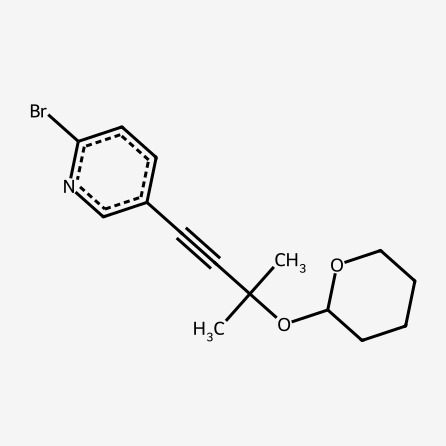 CC(C)(C#Cc1ccc(Br)nc1)OC1CCCCO1